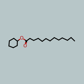 CCCCCCCCCCCCC(=O)OC1CCCCC1